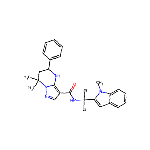 CCC(CC)(NC(=O)c1cnn2c1NC(c1ccccc1)CC2(C)C)c1cc2ccccc2n1C